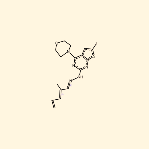 C=C/C=C(C)/C=N/Nc1nc(N2CCOCC2)c2cc(I)sc2n1